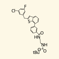 CC(C)(C)OC(=O)NCCNC(=O)c1cccc(-c2cccc3cc(Cc4cc(F)cc(Cl)c4)sc23)c1